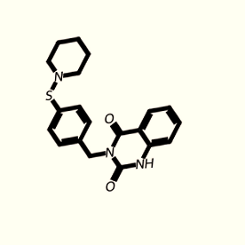 O=c1[nH]c2ccccc2c(=O)n1Cc1ccc(SN2CCCCC2)cc1